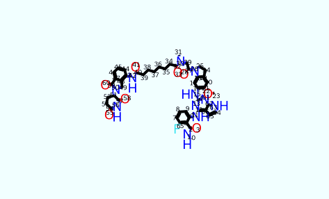 CNC(=O)c1c(F)cccc1Nc1nc(Nc2cc3c(cc2OC)CCN3C(=O)CN(C)C(=O)CCCCCCC(=O)Nc2cccc3c2CN(C2CCC(=O)NC2=O)C3=O)nc2[nH]ccc12